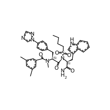 CCCCS(=O)(=O)N(C(=O)[C@H](Cc1ccc(-n2cncn2)cc1)N(C)C(=O)c1cc(C)cc(C)c1)[C@@H](Cc1c[nH]c2ccccc12)C(N)=O